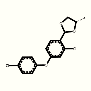 C[C@H]1COC(c2ccc(Oc3ccc(Cl)cc3)cc2Cl)O1